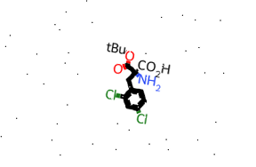 CC(C)(C)OC(=O)[C@](N)(Cc1ccc(Cl)cc1Cl)C(=O)O